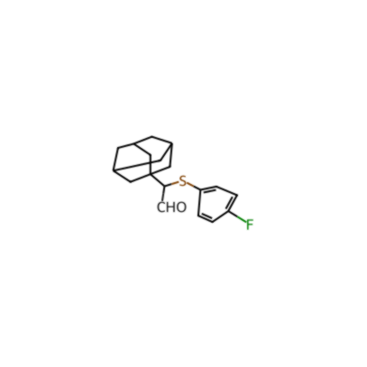 O=CC(Sc1ccc(F)cc1)C12CC3CC(CC(C3)C1)C2